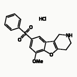 COc1cc(S(=O)(=O)c2ccccc2)cc2c3c(oc12)CCNC3.Cl